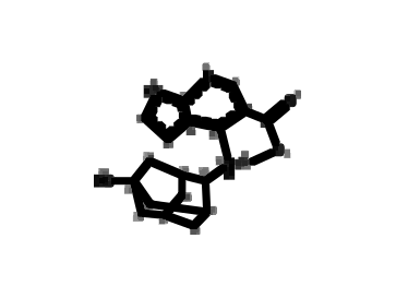 CCCOC(=O)c1cnc2[nH]ccc2c1NC1C2CC3CC1CC(O)(C3)C2